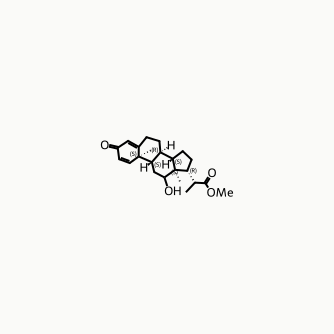 COC(=O)C(C)[C@H]1CC[C@H]2[C@@H]3CCC4=CC(=O)C=C[C@]4(C)[C@H]3CC(O)[C@]12C